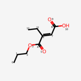 CCCOC(=O)/C(=C/C(=O)O)CC